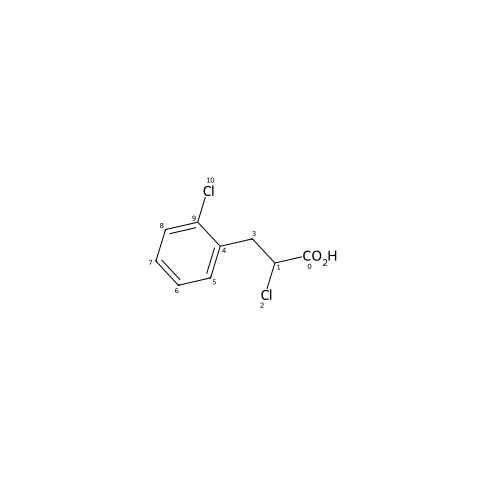 O=C(O)C(Cl)Cc1ccccc1Cl